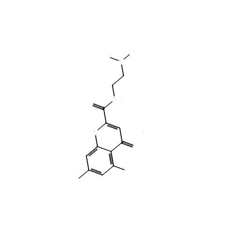 CN(C)CCNC(=O)c1cc(=O)c2c(Cl)cc(Cl)cc2[nH]1.Cl.Cl